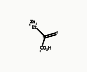 C=C(CC)C(=O)O.[Zn]